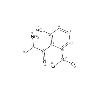 CC(N)C(=O)c1c(O)cccc1N(Cl)Cl